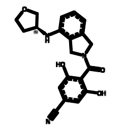 N#Cc1cc(O)c(C(=O)N2Cc3cccc(N[C@H]4CCOC4)c3C2)c(O)c1